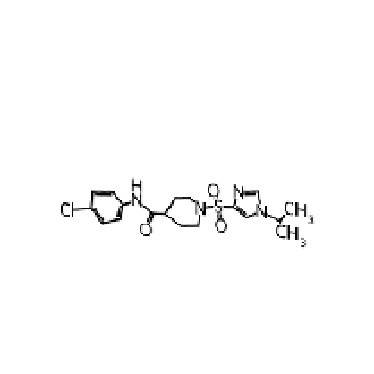 CC(C)n1cnc(S(=O)(=O)N2CCC(C(=O)Nc3ccc(Cl)cc3)CC2)c1